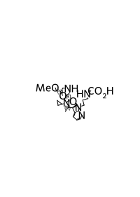 COC[C@@H]1CNC[C@H](C(=O)N(C2CC2)[C@H](C)c2cn(CCCNC(=O)O)c3ncccc23)O1